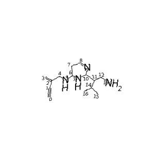 C#CC(=C)CNC1CC=NC(C(CN)C(C)C)N1